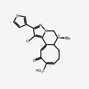 CC(C)(C)[C@@H]1Cn2nc(-c3ccsc3)c(Cl)c2/C2=C/C(=O)/C(C(=O)O)=C\CCC21